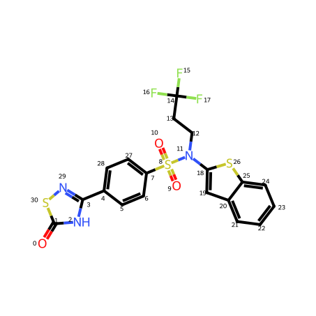 O=c1[nH]c(-c2ccc(S(=O)(=O)N(CCC(F)(F)F)c3cc4ccccc4s3)cc2)ns1